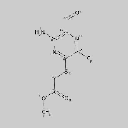 COC(=O)CSc1nc(N)c(C=O)nc1Cl